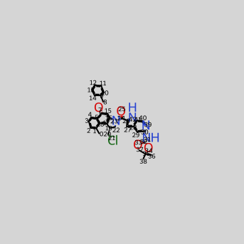 Cc1cccc2c(OCc3ccccc3)cc3c(c12)[C@H](CCl)CN3C(=O)c1cc2cc(NC(=O)OC(C)(C)C)ncc2[nH]1